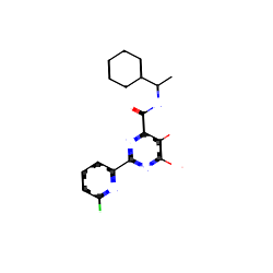 CC(NC(=O)c1nc(-c2cccc(Cl)n2)nc(O)c1O)C1CCCCC1